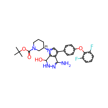 CC(C)(C)OC(=O)N1CCC[C@@H](n2cc(-c3ccc(Oc4c(F)cccc4F)cc3)c3c2C(O)NN=C3N)C1